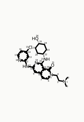 CN(C)CCn1ccc2cc(Nc3cc(Cl)ccn3)nc(N[C@H]3CC[C@@H](O)CC3)c2c1=O